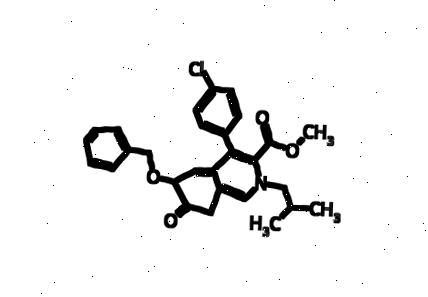 COC(=O)C1=C(c2ccc(Cl)cc2)C2=CC(OCc3ccccc3)C(=O)CC2=CN1CC(C)C